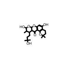 CC1C(O)OC2Oc3cc(O)c4c(c3C(=O)C2C1CCC(C)(C)O)OC(C)(C)CC4